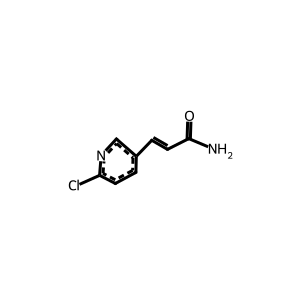 NC(=O)C=Cc1ccc(Cl)nc1